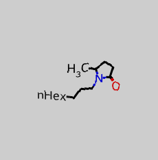 CCCCCCCCCN1C(=O)CCC1C